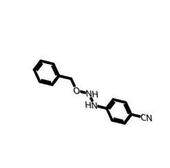 N#Cc1ccc(NNOCc2ccccc2)cc1